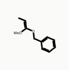 C/C=C(\OC)OCc1ccccc1